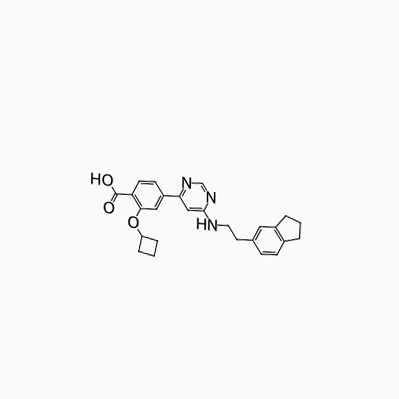 O=C(O)c1ccc(-c2cc(NCCc3ccc4c(c3)CCC4)ncn2)cc1OC1CCC1